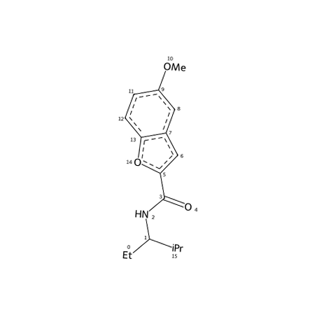 CCC(NC(=O)c1cc2cc(OC)ccc2o1)C(C)C